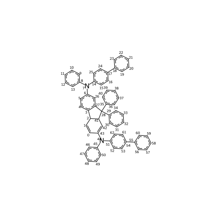 C1=CC2c3ccc(N(c4ccccc4)c4ccc(-c5ccccc5)cc4)cc3C(c3ccccc3)(c3ccccc3)C2C=C1N(c1ccccc1)c1ccc(-c2ccccc2)cc1